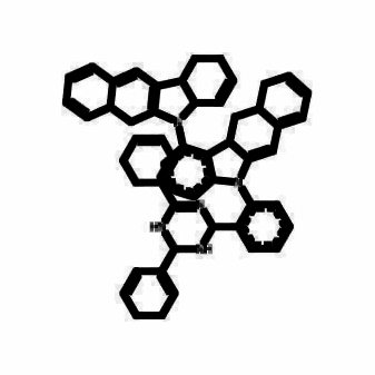 C1=CCCC(C2=NC(c3ccccc3N3C4=CC5=CC=CCC5CC4c4c3cccc4N3C4=C(C=C5C=CC=CC5C4)C4CCC=CC43)NC(C3=CCCC=C3)N2)=C1